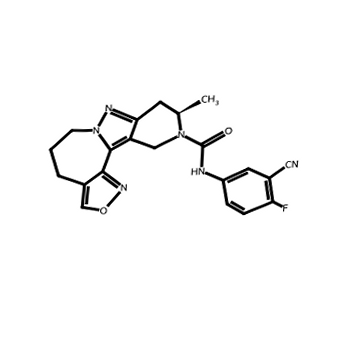 C[C@@H]1Cc2nn3c(c2CN1C(=O)Nc1ccc(F)c(C#N)c1)-c1nocc1CCC3